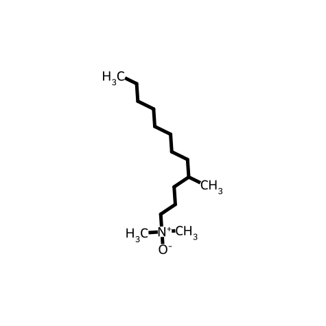 CCCCCCCCC(C)CCC[N+](C)(C)[O-]